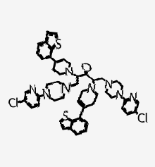 O=C(C(CN1CCN(c2ccc(Cl)cn2)CC1)N1CC=C(c2cccc3ccsc23)CC1)C(CN1CCN(c2ccc(Cl)cn2)CC1)N1CC=C(c2cccc3ccsc23)CC1